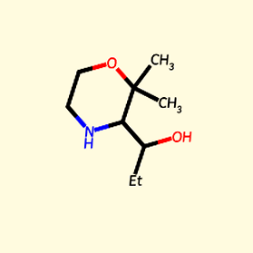 CCC(O)C1NCCOC1(C)C